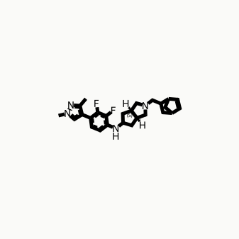 Cc1nn(C)cc1-c1ccc(NC2C[C@@H]3CN(CC4CC5C=CC4C5)C[C@@H]3C2)c(F)c1F